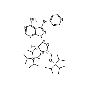 CC(C)[Si](OC[C@H]1O[C@@H](n2nc(Sc3ccncc3)c3c(N)ncnc32)[C@@H](F)[C@@H]1O[Si](C(C)C)(C(C)C)C(C)C)(C(C)C)C(C)C